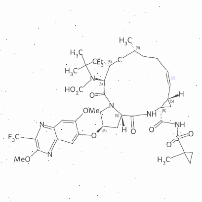 CC[C@@H]1C[C@H](C)CC/C=C\[C@@H]2C[C@@]2(C(=O)NS(=O)(=O)C2(C)CC2)NC(=O)[C@@H]2C[C@@H](Oc3cc4nc(OC)c(C(F)(F)F)nc4cc3OC)CN2C(=O)[C@H]1N(C(=O)O)C(C)(C)C(F)(F)F